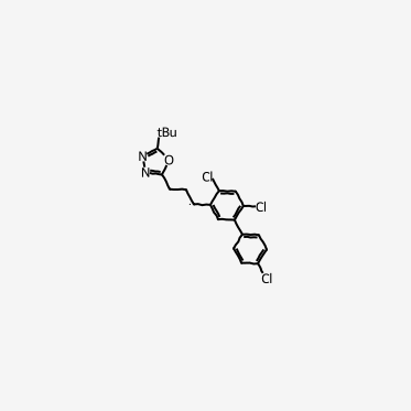 CC(C)(C)c1nnc(CC[CH]c2cc(-c3ccc(Cl)cc3)c(Cl)cc2Cl)o1